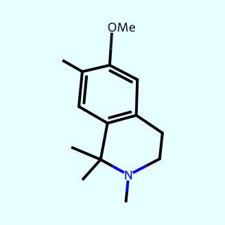 COc1cc2c(cc1C)C(C)(C)N(C)CC2